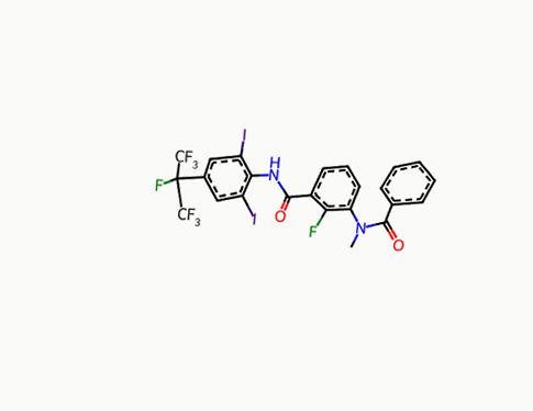 CN(C(=O)c1ccccc1)c1cccc(C(=O)Nc2c(I)cc(C(F)(C(F)(F)F)C(F)(F)F)cc2I)c1F